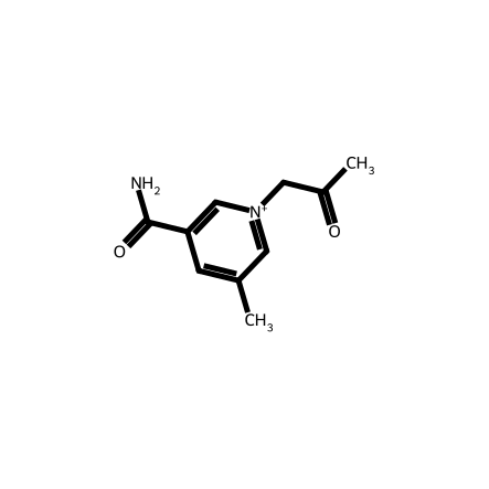 CC(=O)C[n+]1cc(C)cc(C(N)=O)c1